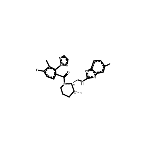 Cc1c(F)ccc(C(=O)N2CCC[C@@H](C)[C@H]2CNc2nc3cc(F)ccc3o2)c1-n1nccn1